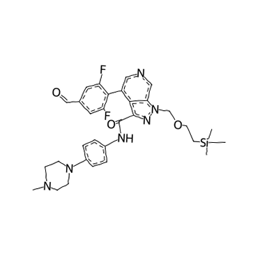 CN1CCN(c2ccc(NC(=O)c3nn(COCC[Si](C)(C)C)c4cncc(-c5c(F)cc(C=O)cc5F)c34)cc2)CC1